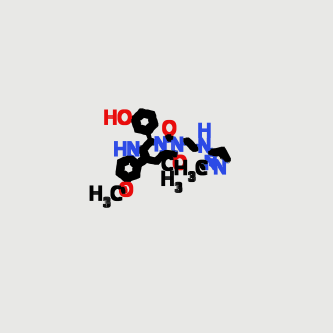 COc1ccc2[nH]c3c(c2c1)C[C@@]1(C)C(=O)N(CCNc2ccnn2C)C(=O)N1[C@@H]3c1cccc(O)c1